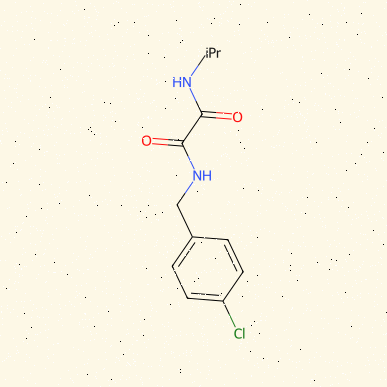 CC(C)NC(=O)C(=O)NCc1ccc(Cl)cc1